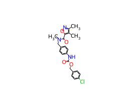 Cc1noc(C(=O)N(C)Cc2ccc(NC(=O)OCc3ccc(Cl)cc3)cc2)c1C